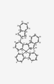 c1ccc2c(c1)-c1ccccc1C21c2cccc(-c3nc4ccccc4s3)c2-c2c1sc1ccccc21